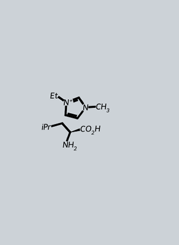 CC(C)C[C@H](N)C(=O)O.CC[n+]1ccn(C)c1